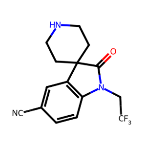 N#Cc1ccc2c(c1)C1(CCNCC1)C(=O)N2CC(F)(F)F